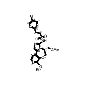 CCOc1nccc2c1OC[C@@H](COC)n1c(NS(=O)(=O)CCc3ncc(Cl)cn3)nnc1-2